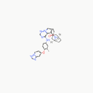 C=CC(=O)N1[C@@H]2CC[C@H]1C[C@@H](c1ccn3ncnc(Nc4ccc(Oc5ccn6ncnc6c5)c(C)c4)c13)C2